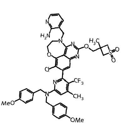 COc1ccc(CN(Cc2ccc(OC)cc2)c2cc(C)c(C(F)(F)F)c(-c3cc4nc(OCC5(C)CS(=O)(=O)C5)nc5c4c(c3Cl)OCCN5Cc3cccnc3N)n2)cc1